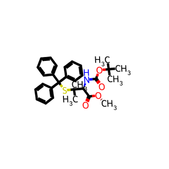 COC(=O)[C@H](NC(=O)OC(C)(C)C)C(C)(C)SC(c1ccccc1)(c1ccccc1)c1ccccc1